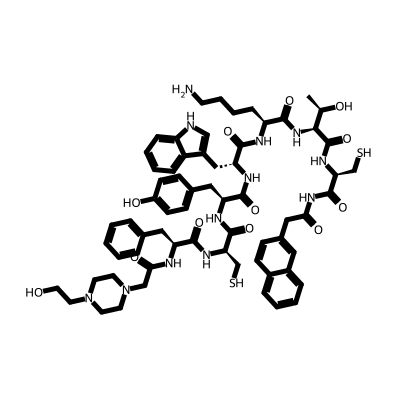 C[C@@H](O)[C@H](NC(=O)[C@H](CCCCN)NC(=O)[C@@H](Cc1c[nH]c2ccccc12)NC(=O)[C@H](Cc1ccc(O)cc1)NC(=O)[C@@H](CS)NC(=O)[C@H](Cc1ccccc1)NC(=O)CN1CCN(CCO)CC1)C(=O)N[C@@H](CS)C(=O)NC(=O)Cc1ccc2ccccc2c1